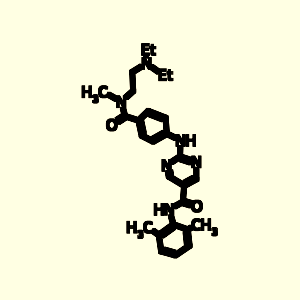 CCN(CC)CCN(C)C(=O)c1ccc(Nc2ncc(C(=O)Nc3c(C)cccc3C)cn2)cc1